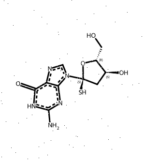 Nc1nc2c(ncn2[C@@]2(S)C[C@H](O)[C@@H](CO)O2)c(=O)[nH]1